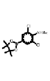 CC(=O)Nc1c(Cl)cc(B2OC(C)(C)C(C)(C)O2)cc1Cl